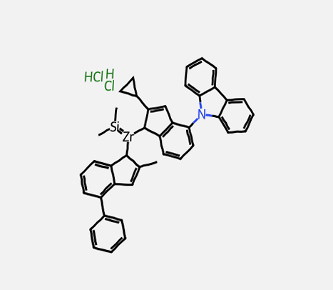 CC1=Cc2c(-c3ccccc3)cccc2[CH]1[Zr]([CH]1C(C2CC2)=Cc2c1cccc2-n1c2ccccc2c2ccccc21)=[Si](C)C.Cl.Cl